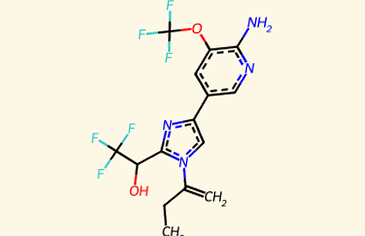 C=C(CC)n1cc(-c2cnc(N)c(OC(F)(F)F)c2)nc1C(O)C(F)(F)F